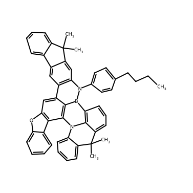 CCCCc1ccc(N2B3c4cccc5c4N(c4ccccc4C5(C)C)c4c3c(cc3oc5ccccc5c43)-c3cc4c(cc32)C(C)(C)c2ccccc2-4)cc1